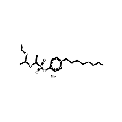 CCCCCCCCc1ccc(OS(=O)(=O)C(C)OC(C)OCC)cc1.[Na]